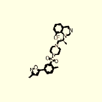 Cc1cc(-c2ccc(C)c(S(=O)(=O)N3CCN(C[C@H](C)N4CN=Cc5cccc(C(F)(F)F)c54)CC3)c2)on1